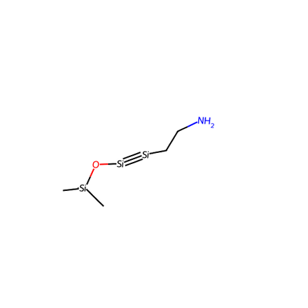 C[Si](C)O[Si]#[Si]CCN